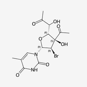 CC(=O)C(O)[C@H]1O[C@@H](n2cc(C)c(=O)[nH]c2=O)[C@H](Br)[C@@]1(O)C(C)=O